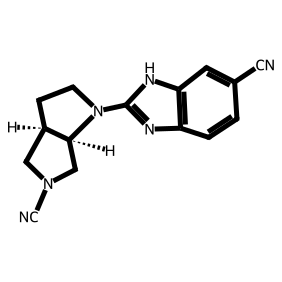 N#Cc1ccc2nc(N3CC[C@@H]4CN(C#N)C[C@@H]43)[nH]c2c1